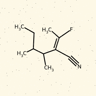 CCC(C)C(C)/C(C#N)=C(\C)F